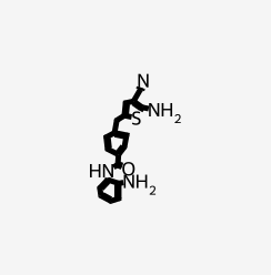 N#Cc1cc(Cc2ccc(C(=O)Nc3ccccc3N)cc2)sc1N